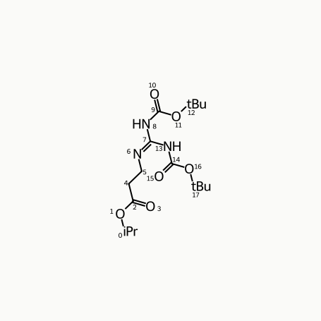 CC(C)OC(=O)CCN=C(NC(=O)OC(C)(C)C)NC(=O)OC(C)(C)C